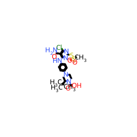 CC(C)(C)C1CN(c2ccc(Nc3nc(SS(C)(=O)=O)nc(Cl)c3C(N)=O)cc2)CCN1C(=O)O